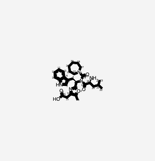 Cc1oc([C@@H](Cc2c[nH]c3ccccc23)N(C(=O)[C@@H](N)CC(C)C)C(=O)N2CCCCCC2)nc1CC(=O)O